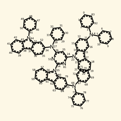 c1ccc(N(c2ccccc2)c2ccc3c(c2)c2ccccc2n3-c2cc(N(c3ccccc3)c3ccc4c5ccccc5n(-c5ccccc5)c4c3)nc(-n3c4ccccc4c4ccc(N(c5ccccc5)c5ccccc5)cc43)n2)cc1